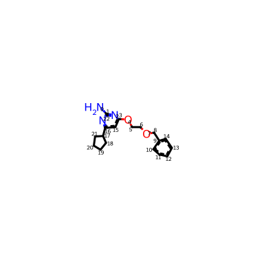 Nc1nc(OCCOCc2ccccc2)cc(C2CCCC2)n1